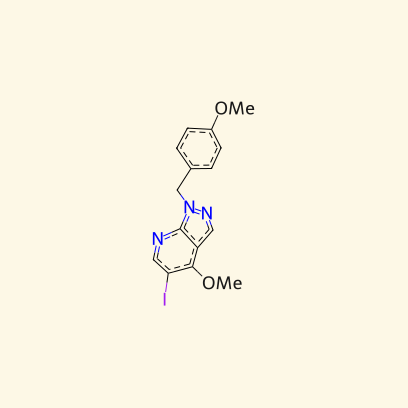 COc1ccc(Cn2ncc3c(OC)c(I)cnc32)cc1